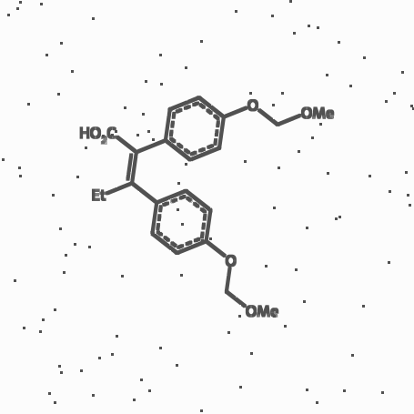 CC/C(=C(\C(=O)O)c1ccc(OCOC)cc1)c1ccc(OCOC)cc1